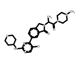 CC(C(=O)N1CCN(C)CC1)N1Cc2ccc(-c3nc(NC4CCOCC4)ncc3Cl)cc2C1=O